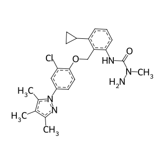 Cc1nn(-c2ccc(OCc3c(NC(=O)N(C)N)cccc3C3CC3)c(Cl)c2)c(C)c1C